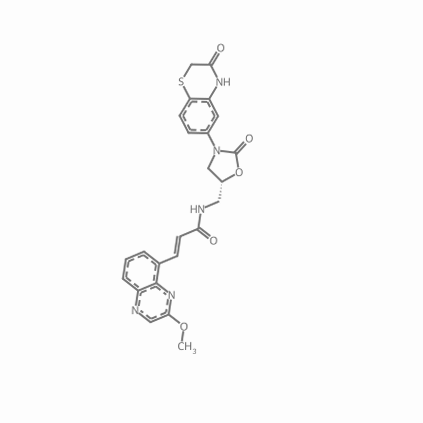 COc1cnc2cccc(/C=C/C(=O)NC[C@@H]3CN(c4ccc5c(c4)NC(=O)CS5)C(=O)O3)c2n1